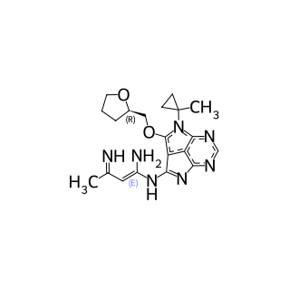 CC(=N)/C=C(\N)NC1=Nc2ncnc3c2c1c(OC[C@H]1CCCO1)n3C1(C)CC1